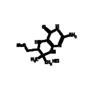 COCC1Nc2c(nc(N)[nH]c2=O)NC1(C)C.Cl